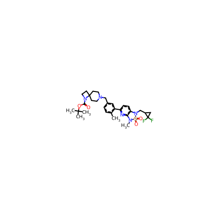 Cc1ccc(CN2CCC3(CC2)CCN3C(=O)OC(C)(C)C)cc1-c1ccc2c(n1)N(C)S(=O)(=O)N2CC1CC1(F)F